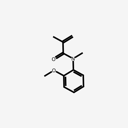 C=C(C)C(=O)N(C)c1ccccc1OC